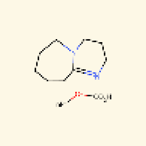 C1CCC2=NCCCN2CC1.CCCOC(=O)O